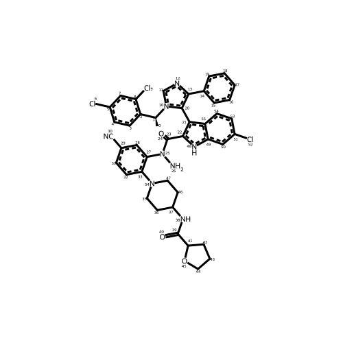 C[C@@H](c1ccc(Cl)cc1Cl)n1cnc(-c2ccccc2)c1-c1c(C(=O)N(N)c2cc(C#N)ccc2N2CCC(NC(=O)C3CCCO3)CC2)[nH]c2cc(Cl)ccc12